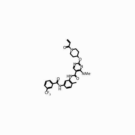 C=CC(=O)N1CCC(Oc2ncc(C(=O)Nc3cc(NC(=O)c4cccc(C(F)(F)F)c4)ccc3C)c(NC)n2)CC1